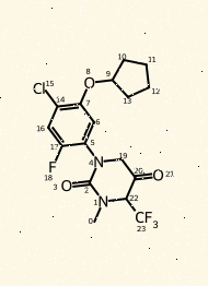 CN1C(=O)N(c2cc(OC3CCCC3)c(Cl)cc2F)CC(=O)C1C(F)(F)F